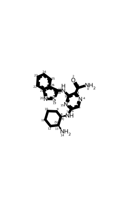 NC(=O)c1ncc(N[C@@H]2CCCC[C@@H]2N)nc1Nc1snc2ccccc12